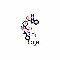 CN(C(=O)c1onc2c1CN(C(=O)c1cc3ccccc3[nH]1)CC2)C1(c2ccc(C(=O)O)cc2)CC1